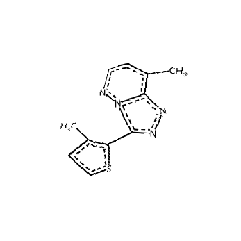 Cc1ccsc1-c1nnc2c(C)ccnn12